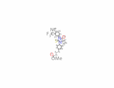 COC(=O)CCCc1ccc(N2C(=S)N(c3ccc(C#N)c(C(F)(F)F)c3)C(=O)C23CCC3)cc1